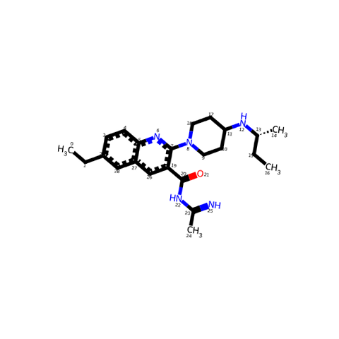 CCc1ccc2nc(N3CCC(N[C@H](C)CC)CC3)c(C(=O)NC(C)=N)cc2c1